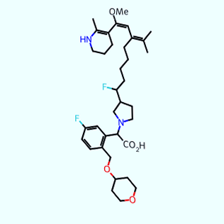 CO/C(=C/C(CCCCC(F)C1CCN(C(C(=O)O)c2cc(F)ccc2COC2CCOCC2)C1)=C(C)C)C1=C(C)NCCC1